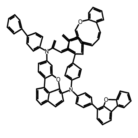 C=C(/C=C\C(=C)N(c1ccc(-c2ccccc2)cc1)c1ccc2c(c1)Oc1c(N(c3ccc(-c4ccccc4)cc3)c3ccc(-c4cccc5c4oc4ccccc45)cc3)ccc3cccc-2c13)c1ccccc2ccccc2oc1